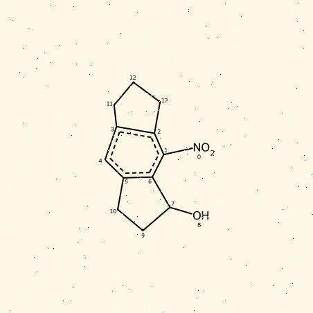 O=[N+]([O-])c1c2c(cc3c1C(O)CC3)CCC2